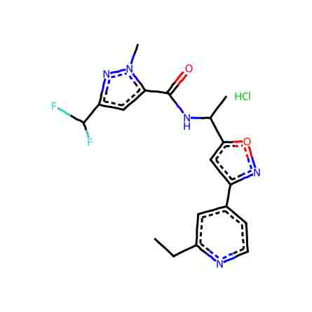 CCc1cc(-c2cc(C(C)NC(=O)c3cc(C(F)F)nn3C)on2)ccn1.Cl